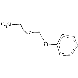 [SiH3]CC=COc1ccccc1